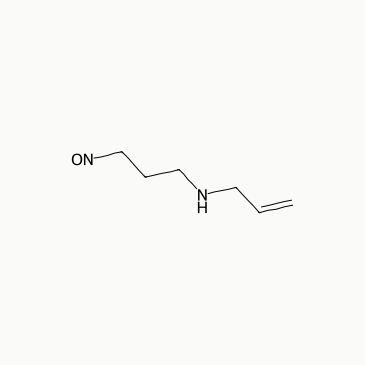 C=CCNCCCN=O